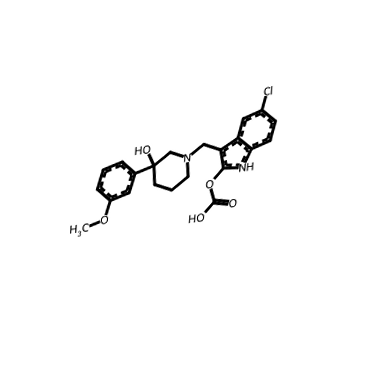 COc1cccc(C2(O)CCCN(Cc3c(OC(=O)O)[nH]c4ccc(Cl)cc34)C2)c1